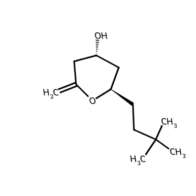 C=C1C[C@H](O)C[C@@H](CCC(C)(C)C)O1